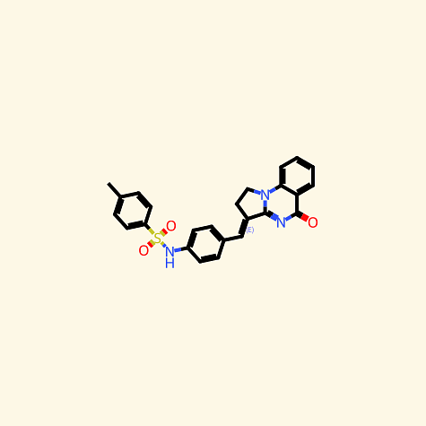 Cc1ccc(S(=O)(=O)Nc2ccc(/C=C3\CCn4c3nc(=O)c3ccccc34)cc2)cc1